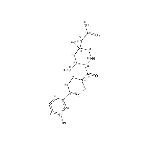 CC(C)c1cccc(C2=CCN(C(=O)C3NCC4(CC3C(=O)O)CC4C(N)=O)CC2)c1